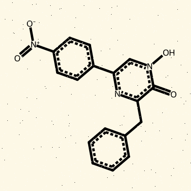 O=c1c(Cc2ccccc2)nc(-c2ccc([N+](=O)[O-])cc2)cn1O